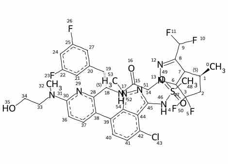 C[C@H]1CC(F)(F)C2C1C(C(F)F)=NN2CC(=O)N[C@@H](Cc1cc(F)cc(F)c1)c1nc(N(C)CCO)ccc1-c1ccc(Cl)c2c(NS(C)(=O)=O)nn(C)c12